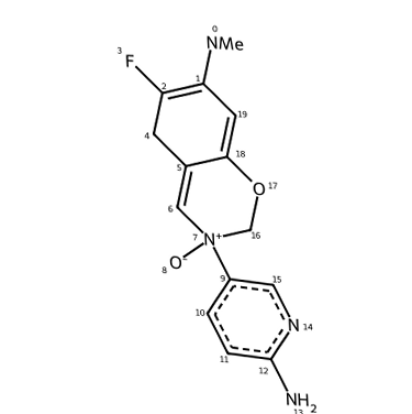 CNC1=C(F)CC2=C[N+]([O-])(c3ccc(N)nc3)COC2=C1